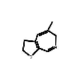 CC1=CC2=C(C=NC1)OCC2